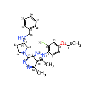 CCOc1ccc(-n2nc3c(N4CC[C@@H](NCc5ccccc5)C4)nnc(C)c3c2C)c(F)c1